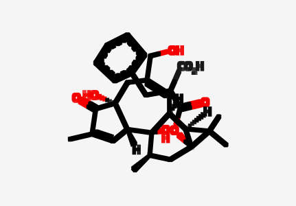 CC1=C[C@H]2[C@@]3(O)[C@H](C)C[C@]4(OC(=O)C(Cc5ccccc5)C(=O)O)[C@@H]([C@@H]3C=C(CO)C[C@]2(O)C1=O)C4(C)C